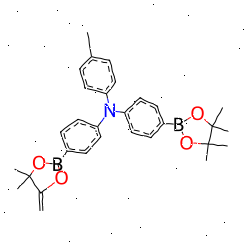 C=C1OB(c2ccc(N(c3ccc(C)cc3)c3ccc(B4OC(C)(C)C(C)(C)O4)cc3)cc2)OC1(C)C